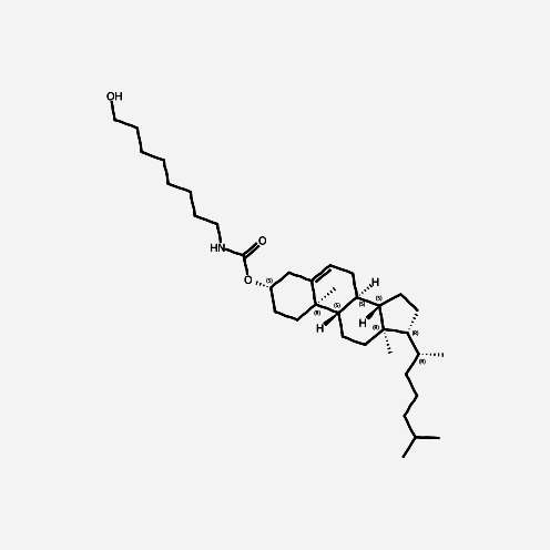 CC(C)CCC[C@@H](C)[C@H]1CC[C@H]2[C@@H]3CC=C4C[C@@H](OC(=O)NCCCCCCCCO)CC[C@]4(C)[C@H]3CC[C@]12C